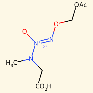 CC(=O)OCO/N=[N+](\[O-])N(C)CC(=O)O